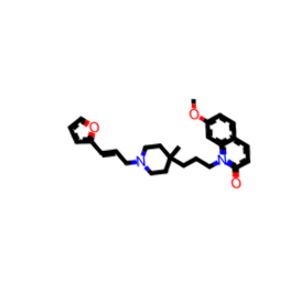 COc1ccc2ccc(=O)n(CCCC3(C)CCN(C/C=C/c4ccco4)CC3)c2c1